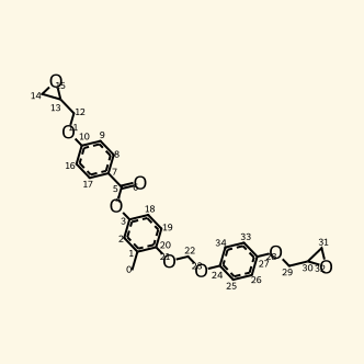 Cc1cc(OC(=O)c2ccc(OCC3CO3)cc2)ccc1OCOc1ccc(OCC2CO2)cc1